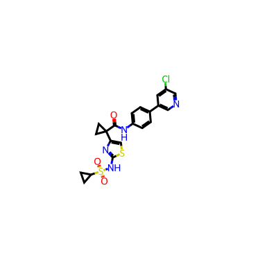 O=C(Nc1ccc(-c2cncc(Cl)c2)cc1)C1(c2csc(NS(=O)(=O)C3CC3)n2)CC1